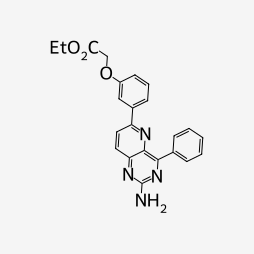 CCOC(=O)COc1cccc(-c2ccc3nc(N)nc(-c4ccccc4)c3n2)c1